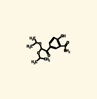 CC(C)OC(OC(C)C)C(=O)c1ccc(O)c(C(N)=O)c1